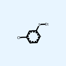 CCSc1[c]ccc(Cl)c1